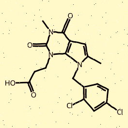 Cc1cc2c(=O)n(C)c(=O)n(CCC(=O)O)c2n1Cc1ccc(Cl)cc1Cl